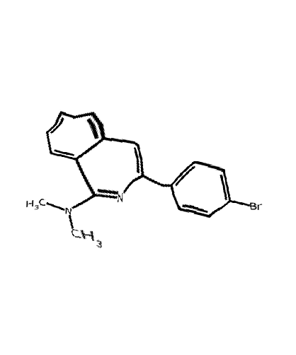 CN(C)c1nc(-c2ccc(Br)cc2)cc2ccccc12